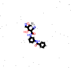 Cc1oncc1C(O)C(C#N)C(=O)Nc1cccc(NC(=O)c2ccccc2)c1